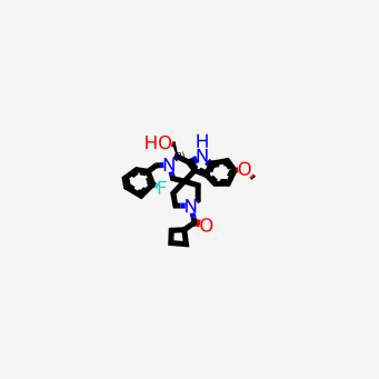 COc1ccc2c3c([nH]c2c1)[C@H](CO)N(Cc1ccccc1F)CC31CCN(C(=O)C2CCC2)CC1